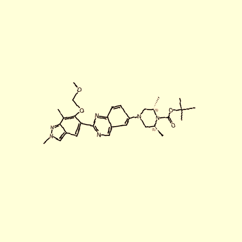 COCOc1c(-c2ncc3cc(N4C[C@H](C)N(C(=O)OC(C)(C)C)[C@@H](C)C4)ccc3n2)cc2cn(C)nc2c1C